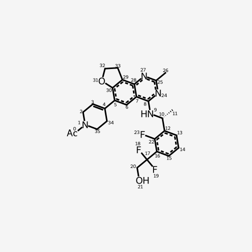 CC(=O)N1CC=C(c2cc3c(N[C@H](C)c4cccc(C(F)(F)CO)c4F)nc(C)nc3c3c2OCC3)CC1